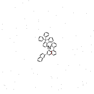 c1ccc(-c2ccccc2N(c2cccc(-c3ccc4ccccc4c3)c2)c2cccc3c2-c2ccccc2C3(c2ccccc2)c2ccccc2)cc1